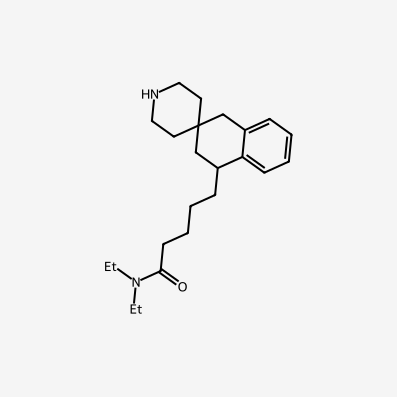 CCN(CC)C(=O)CCCCC1CC2(CCNCC2)Cc2ccccc21